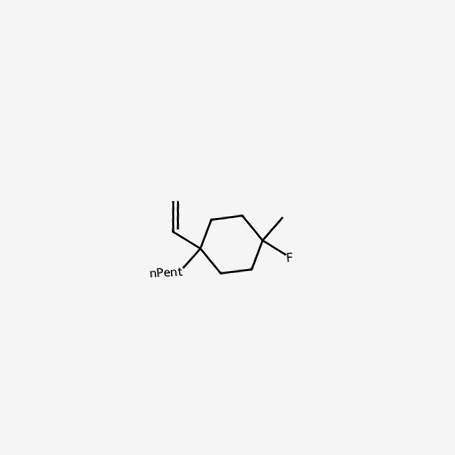 C=CC1(CCCCC)CCC(C)(F)CC1